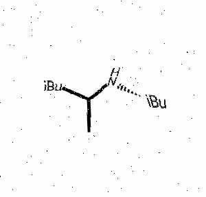 CCC(C)C(C)N[C@@H](C)CC